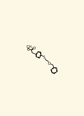 COC(=O)Cc1ccc(SCCOCc2ccccc2)cc1